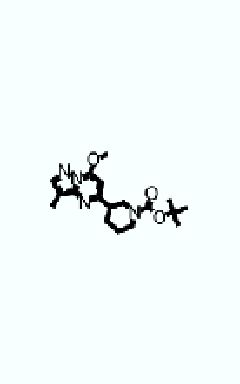 COc1cc(C2CCCN(C(=O)OC(C)(C)C)C2)nc2c(C)cnn12